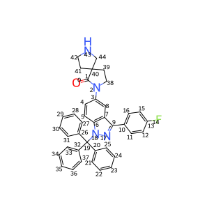 O=C1N(c2ccc3c(c2)c(-c2ccc(F)cc2)nn3C(c2ccccc2)(c2ccccc2)c2ccccc2)CCC12CCNC2